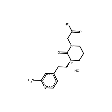 Cl.Nc1cc(CC[C@@H]2CCCN(CC(=O)O)C2=O)ccn1